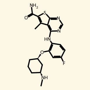 CN[C@H]1CCC[C@@H](Oc2cc(F)ccc2Nc2ncnc3sc(C(N)=O)c(C)c23)C1